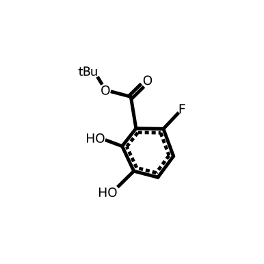 CC(C)(C)OC(=O)c1c(F)ccc(O)c1O